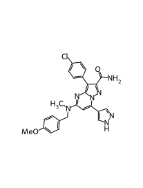 COc1ccc(CN(C)c2cc(-c3cn[nH]c3)n3nc(C(N)=O)c(-c4ccc(Cl)cc4)c3n2)cc1